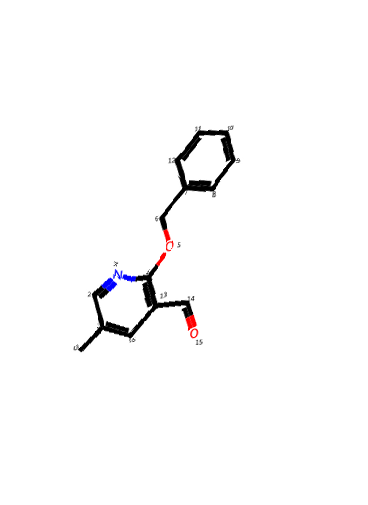 Cc1cnc(OCc2ccccc2)c(C=O)c1